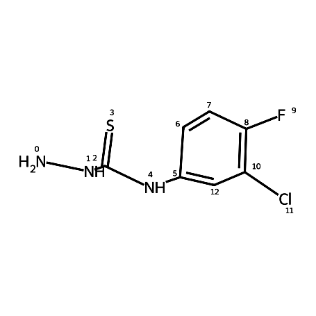 NNC(=S)Nc1ccc(F)c(Cl)c1